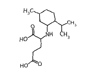 CC1CCC(C(C)C)C(NC(CCC(=O)O)C(=O)O)C1